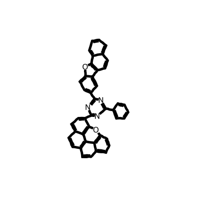 c1ccc(-c2nc(-c3ccc4oc5c6ccccc6ccc5c4c3)nc(-c3ccc4ccc5ccc6cccc7c6c5c4c3O7)n2)cc1